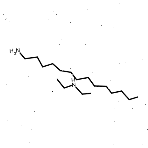 CCCCCCCCCCCCCCN.CCNCC